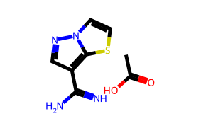 CC(=O)O.N=C(N)c1cnn2ccsc12